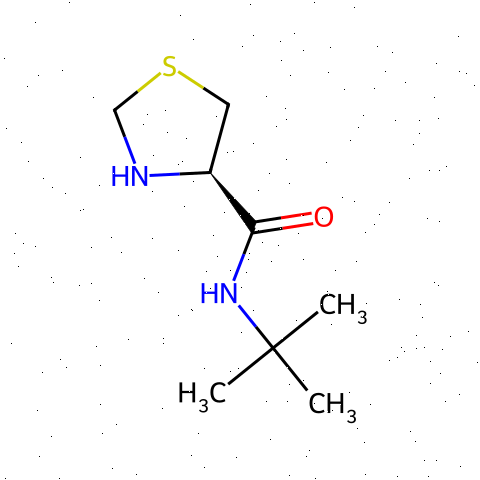 CC(C)(C)NC(=O)[C@@H]1CSCN1